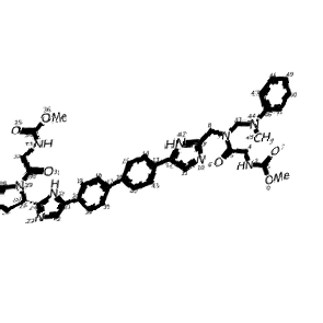 COC(=O)NCC(=O)N(Cc1ncc(-c2ccc(-c3ccc(-c4cnc([C@@H]5CCCN5C(=O)CNC(=O)OC)[nH]4)cc3)cc2)[nH]1)CN(C)c1ccccc1